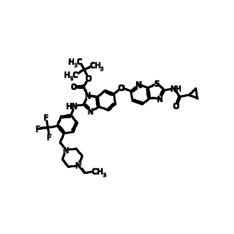 CCN1CCN(Cc2ccc(Nc3nc4ccc(Oc5ccc6nc(NC(=O)C7CC7)sc6n5)cc4n3C(=O)OC(C)(C)C)cc2C(F)(F)F)CC1